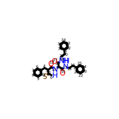 CC(=S)C(Cc1ccccc1)C(=O)NC(C(=O)NCCc1ccccc1)C(=O)NCCc1ccccc1